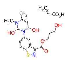 C=CC(=O)O.CN1C(C(F)(F)F)=CC(O)N(c2ccc3snc(C(=O)OCCCO)c3c2)C1O